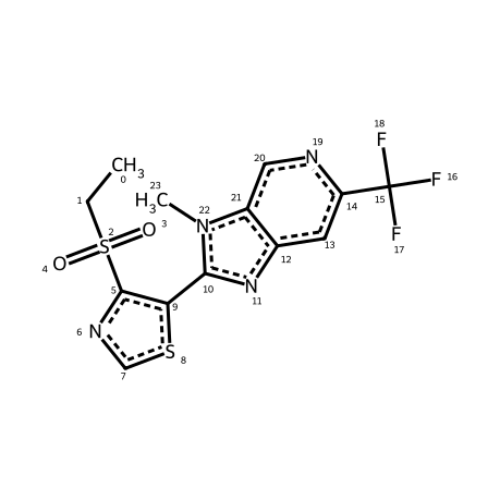 CCS(=O)(=O)c1ncsc1-c1nc2cc(C(F)(F)F)ncc2n1C